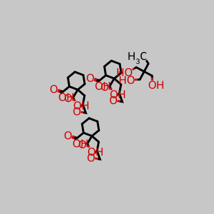 CCC(CO)(CO)CO.O=C(O)C1CCCCC1(CC1CO1)C(=O)O.O=C(O)C1CCCCC1(CC1CO1)C(=O)O.O=C(O)C1CCCCC1(CC1CO1)C(=O)O